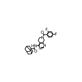 O=C(c1ccc(F)cc1F)N1CCc2c(ncnc2NC(=O)C23CC4CC(CC(C4)C2)C3)C1